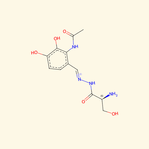 CC(=O)Nc1c(/C=N/NC(=O)[C@@H](N)CO)ccc(O)c1O